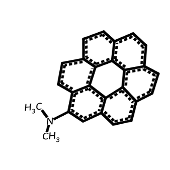 CN(C)c1cc2ccc3ccc4ccc5ccc6ccc1c1c6c5c4c3c21